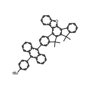 CC(C)(C)c1ccc(-c2c3ccccc3c(-c3ccc4c(c3)C(C)(C)c3c5c(c6oc7ccccc7c6c3-4)-c3ccccc3C5(C)C)c3ccccc23)cc1